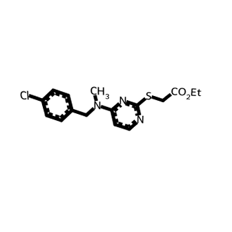 CCOC(=O)CSc1nccc(N(C)Cc2ccc(Cl)cc2)n1